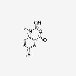 CN1c2ccc(Br)cc2C(=O)OC1O